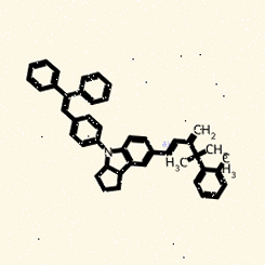 C=C(/C=C/c1ccc2c(c1)C1CCCC1N2c1ccc(C=C(c2ccccc2)c2ccccc2)cc1)C(C)(C)c1ccccc1C